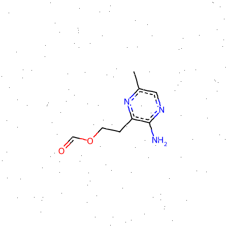 Cc1cnc(N)c(CCOC=O)n1